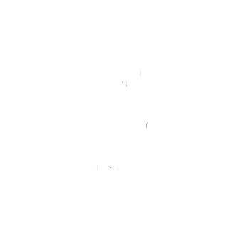 CCCCCCCC/C=C\CCCCCCCC(=O)O.CCCCCCCCCCC[CH2][Na]